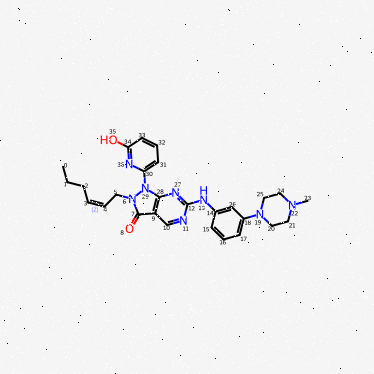 CCC/C=C\Cn1c(=O)c2cnc(Nc3cccc(N4CCN(C)CC4)c3)nc2n1-c1cccc(O)n1